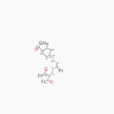 CCC(=O)C(CCC(=CCCc1ccc(C(=O)OC)cc1)CC)C(=O)CC